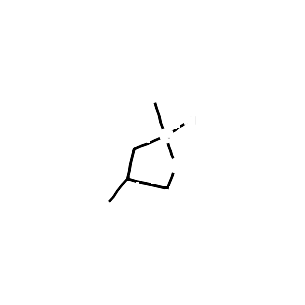 CC1CO[Si](C)(Cl)C1